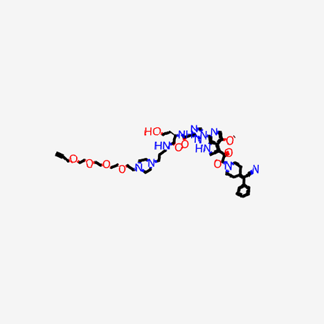 C#CCOCCOCCOCCOCCN1CCN(CCCNC(=O)[C@@H](CCO)NC(=O)c2ncn(-c3ncc(OC)c4c(C(=O)C(=O)N5CCC(=C(C#N)c6ccccc6)CC5)c[nH]c34)n2)CC1